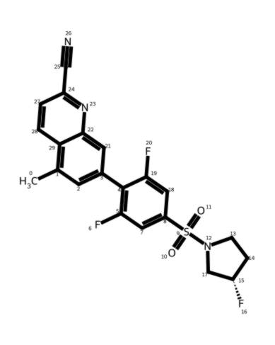 Cc1cc(-c2c(F)cc(S(=O)(=O)N3CC[C@H](F)C3)cc2F)cc2nc(C#N)ccc12